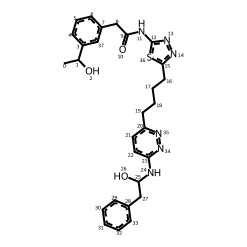 CC(O)c1cccc(CC(=O)Nc2nnc(CCCCc3ccc(NC(O)Cc4ccccc4)nn3)s2)c1